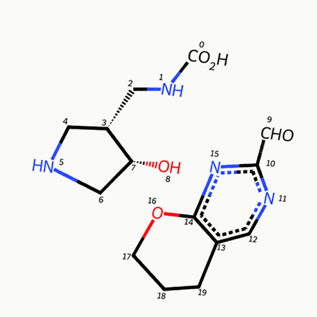 O=C(O)NC[C@H]1CNC[C@H]1O.O=Cc1ncc2c(n1)OCCC2